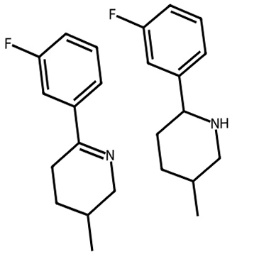 CC1CCC(c2cccc(F)c2)=NC1.CC1CCC(c2cccc(F)c2)NC1